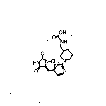 CN1C(=O)NC(=O)C1=Cc1ccnc(N2CCCC(CNC(=O)O)C2)n1